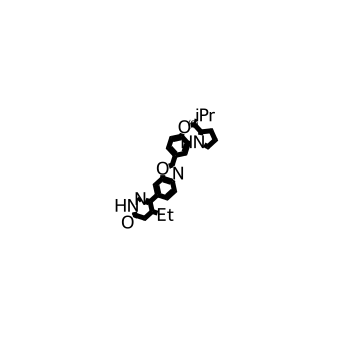 CCC1CC(=O)NN=C1c1ccc2nc(-c3ccc(O[C@@H](C(C)C)C4CCCN4)cc3)oc2c1